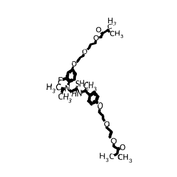 CC(C)C(=O)COCCCOCCCOc1ccc([C@@H](C)NC(S)CN(c2ccc(OCCCOCCCOCC(=O)C(C)C)cc2F)C(C)C)cc1